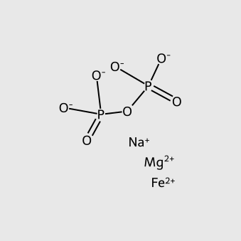 O=P([O-])([O-])OP(=O)([O-])[O-].[Fe+2].[Mg+2].[Na+]